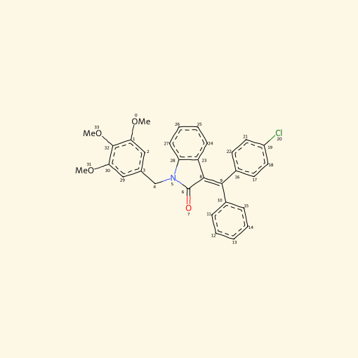 COc1cc(CN2C(=O)/C(=C(\c3ccccc3)c3ccc(Cl)cc3)c3ccccc32)cc(OC)c1OC